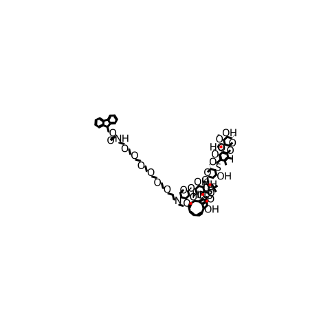 CCN(CCCOCCOCCOCCOCCOCCOCCNC(=O)OCC1c2ccccc2-c2ccccc21)[C@H]1CO[C@@H](O[C@H]2[C@H](O[C@H]3C#CC=CC#C[C@]4(O)CC(=O)C(NC(=O)OC)=C3/C4=C\CSSC(C)(C)C)O[C@H](C)[C@@H](NO[C@H]3C[C@H](O)[C@H](SC(=O)c4c(C)c(I)c(O[C@@H]5O[C@@H](C)[C@H](O)[C@@H](OC)[C@H]5O)c(OC)c4OC)[C@@H](C)O3)[C@@H]2O)C[C@@H]1OC